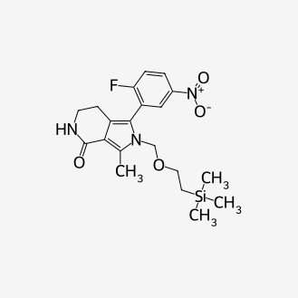 Cc1c2c(c(-c3cc([N+](=O)[O-])ccc3F)n1COCC[Si](C)(C)C)CCNC2=O